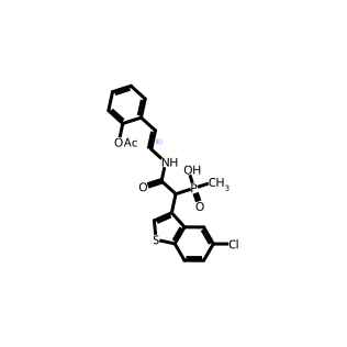 CC(=O)Oc1ccccc1/C=C/NC(=O)C(c1csc2ccc(Cl)cc12)P(C)(=O)O